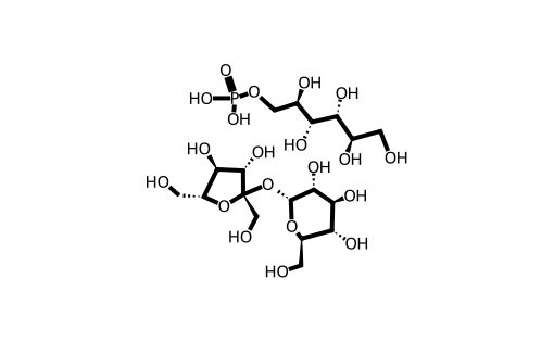 O=P(O)(O)OC[C@@H](O)[C@@H](O)[C@H](O)[C@H](O)CO.OC[C@H]1O[C@@](CO)(O[C@H]2O[C@H](CO)[C@@H](O)[C@H](O)[C@H]2O)[C@@H](O)[C@@H]1O